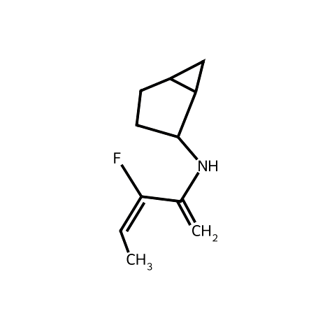 C=C(NC1CCC2CC21)/C(F)=C\C